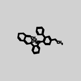 C=C(/C=C1/C=CCC/C1=C/C)c1ccccc1Nc1ccc(CC)cc1-c1ccccc1